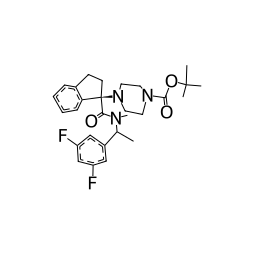 CC(c1cc(F)cc(F)c1)N(C)C(=O)[C@@]1(N2CCN(C(=O)OC(C)(C)C)CC2)CCc2ccccc21